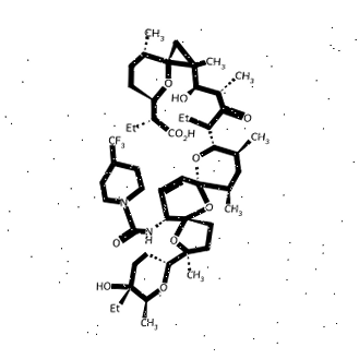 CCC(C(=O)[C@@H](C)[C@@H](O)C1(C)C[C@]12O[C@@H]([C@@H](CC)C(=O)O)CC[C@@H]2C)[C@H]1O[C@]2(C=C[C@@H](NC(=O)N3CCC(C(F)(F)F)CC3)[C@]3(CC[C@@](C)([C@H]4CC[C@](O)(CC)[C@H](C)O4)O3)O2)[C@H](C)C[C@@H]1C